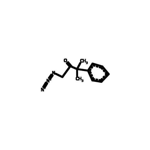 CC(C)(C(=O)CN=[N+]=[N-])c1ccccc1